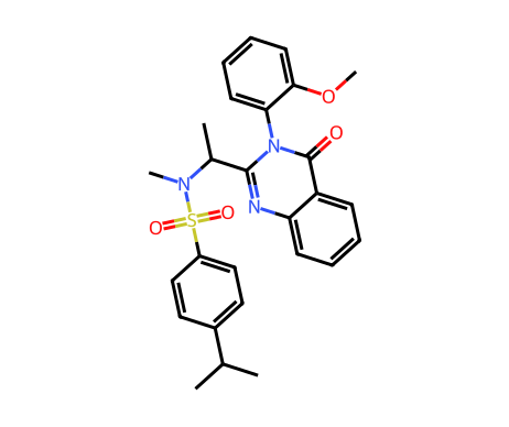 COc1ccccc1-n1c(C(C)N(C)S(=O)(=O)c2ccc(C(C)C)cc2)nc2ccccc2c1=O